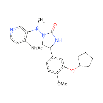 COc1ccc(C2CN(N(C)c3cnccc3NC(C)=O)C(=O)N2)cc1OC1CCCC1